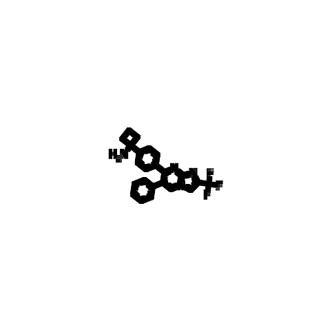 NC1(c2ccc(-c3nc4nc(C(F)(F)F)cn4cc3-c3ccccc3)cc2)CCC1